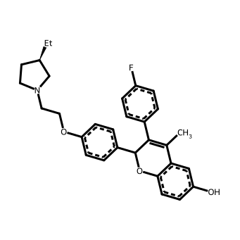 CC[C@@H]1CCN(CCOc2ccc(C3Oc4ccc(O)cc4C(C)=C3c3ccc(F)cc3)cc2)C1